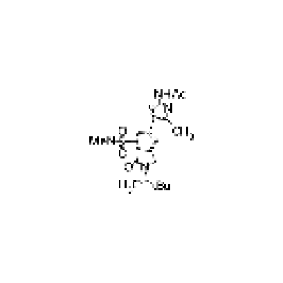 CNS(=O)(=O)c1cc(-c2sc(NC(C)=O)nc2C)cc2c1C(=O)N(C(C)C(C)(C)C)C2